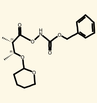 C[C@H](C(=O)ONC(=O)OCc1ccccc1)[C@@H](C)OC1CCCCO1